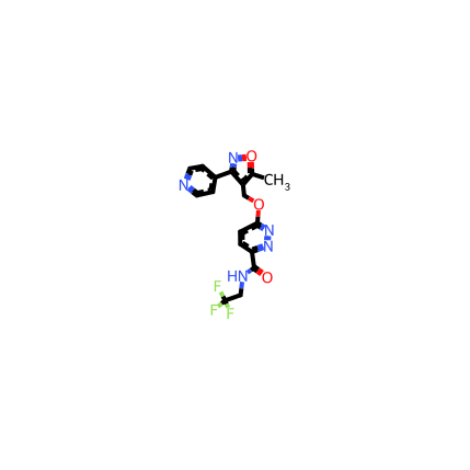 Cc1onc(-c2ccncc2)c1COc1ccc(C(=O)NCC(F)(F)F)nn1